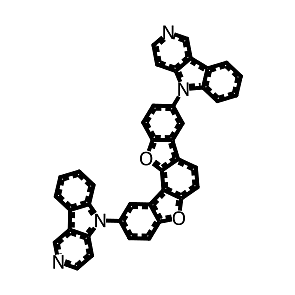 c1ccc2c(c1)c1cnccc1n2-c1ccc2oc3c(ccc4oc5ccc(-n6c7ccccc7c7cnccc76)cc5c43)c2c1